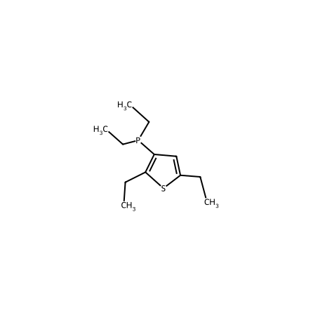 CCc1cc(P(CC)CC)c(CC)s1